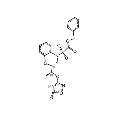 C[C@H](Oc1noc(=O)[nH]1)[C@H]1CN(S(=O)(=O)C(=O)OCc2ccccc2)c2ccccc2O1